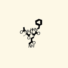 CC(=O)N[C@@H](C)C(=O)N[C@@H](CCC(=O)C=N)C(=O)NCc1ccccc1